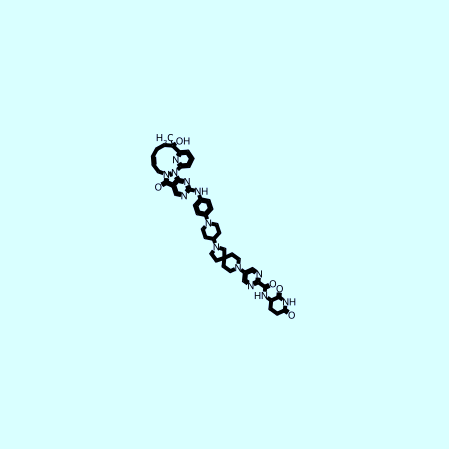 C[C@@]1(O)CC/C=C\Cn2c(=O)c3cnc(Nc4ccc(N5CCC(N6CCC7(CCN(c8cnc(C(=O)NC9CCC(=O)NC9=O)nc8)CC7)C6)CC5)cc4)nc3n2-c2cccc1n2